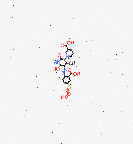 Cc1c(N=Nc2ccc(SOOO)cc2C(=O)O)c(O)[nH]c(=O)c1-[n+]1cccc(C(=O)O)c1